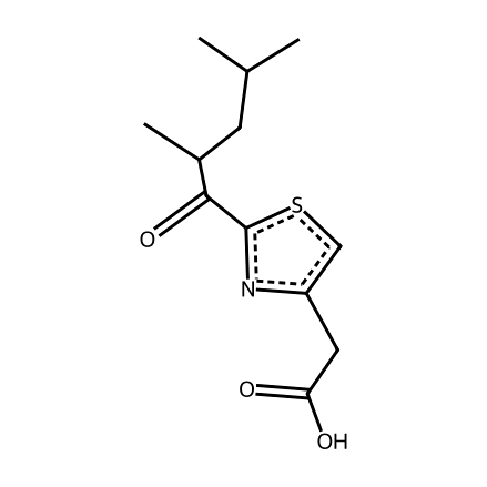 CC(C)CC(C)C(=O)c1nc(CC(=O)O)cs1